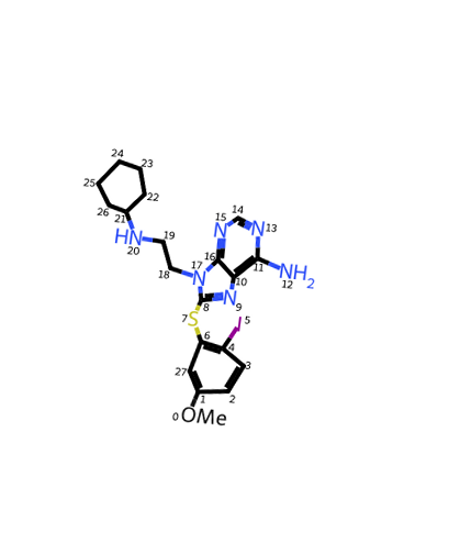 COc1ccc(I)c(Sc2nc3c(N)ncnc3n2CCNC2CCCCC2)c1